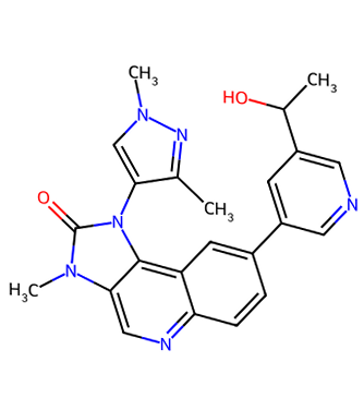 Cc1nn(C)cc1-n1c(=O)n(C)c2cnc3ccc(-c4cncc(C(C)O)c4)cc3c21